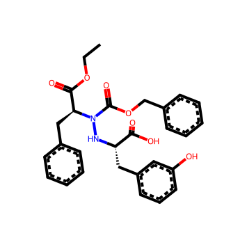 CCOC(=O)[C@H](Cc1ccccc1)N(N[C@@H](Cc1cccc(O)c1)C(=O)O)C(=O)OCc1ccccc1